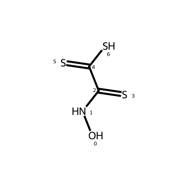 ONC(=S)C(=S)S